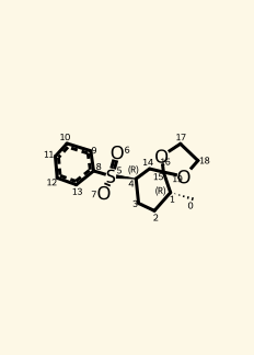 C[C@@H]1CC[C@@H](S(=O)(=O)c2ccccc2)CC12OCCO2